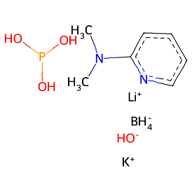 CN(C)c1ccccn1.OP(O)O.[BH4-].[K+].[Li+].[OH-]